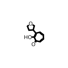 O=c1ccccc(C2CCOC2)c1O